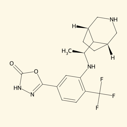 C[C@H](Nc1cc(-c2n[nH]c(=O)o2)ccc1C(F)(F)F)C1[C@@H]2CC[C@H]1CNC2